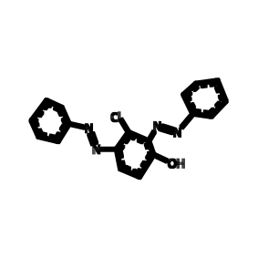 Oc1ccc(N=Nc2ccccc2)c(Cl)c1N=Nc1ccccc1